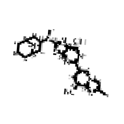 Cc1cn2cc(-c3ncc4nc(N(C)C5CC6CCCC(C5)N6)sc4n3)cc(C#N)c2n1.Cl